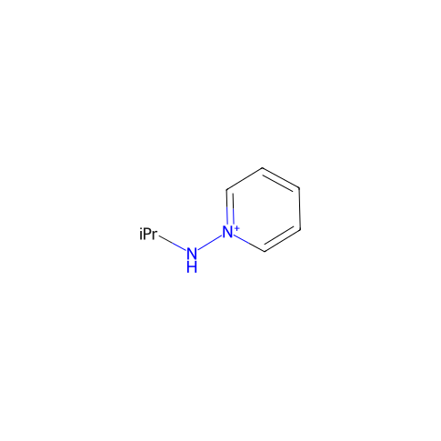 CC(C)N[n+]1ccccc1